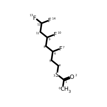 CC(=O)SCCC(F)CC(F)CC(F)F